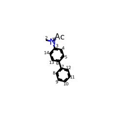 CC(=O)N(C)c1ccc(-c2ccccc2)cc1